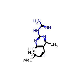 C=C(/C=C\c1c(C)nc(NC(=N)N)nc1C)OC